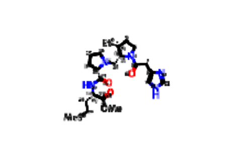 CC[C@H]1CCN(C(=O)Cc2c[nH]cn2)[C@@H]1CN1CCC[C@H]1C(=O)N[C@@H](CCSC)C(=O)OC